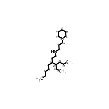 CCCCCC(CCNCCCN1CCCCC1)C(CC)CCC